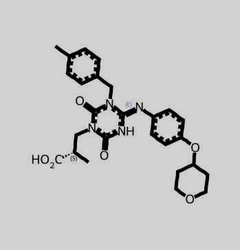 Cc1ccc(Cn2c(=O)n(C[C@H](C)C(=O)O)c(=O)[nH]/c2=N\c2ccc(OC3CCOCC3)cc2)cc1